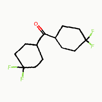 O=C(C1CCC(F)(F)CC1)C1CCC(F)(F)CC1